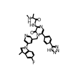 CNC(C)C(=O)Nc1ncc(-c2ccc(-c3nnn[nH]3)cc2)n(Cc2cncc(-n3cc(C)c4cc(F)ccc43)c2)c1=O